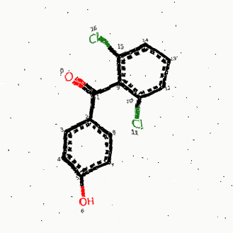 O=C(c1ccc(O)cc1)c1c(Cl)cccc1Cl